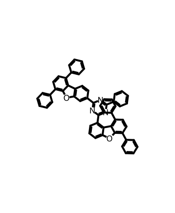 c1ccc(-c2nc(-c3ccc4c(c3)oc3c(-c5ccccc5)ccc(-c5ccccc5)c34)nc(-c3cccc4oc5c(-c6ccccc6)ccc(-c6ccccc6)c5c34)n2)cc1